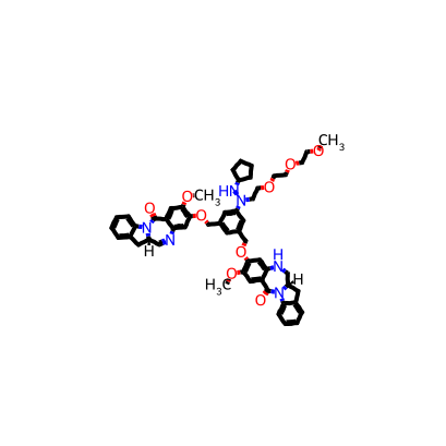 COCCOCCOCCN(NC1CCCC1)c1cc(COc2cc3c(cc2OC)C(=O)N2c4ccccc4C[C@H]2C=N3)cc(COc2cc3c(cc2OC)C(=O)N2c4ccccc4C[C@H]2CN3)c1